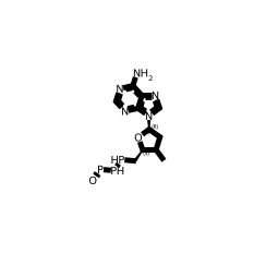 CC1C[C@H](n2cnc3c(N)ncnc32)O[C@@H]1CPPP=O